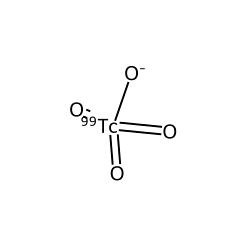 [O]=[99Tc](=[O])(=[O])[O-]